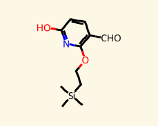 C[Si](C)(C)CCOc1nc(O)ccc1C=O